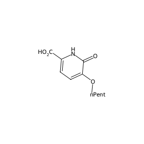 CCCCCOc1ccc(C(=O)O)[nH]c1=O